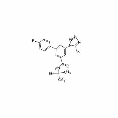 CCC(C)(C)NC(=O)c1cc(-c2ccc(F)cc2)cc(-n2nnnc2C(C)C)c1